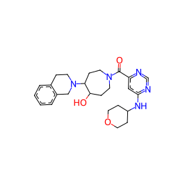 O=C(c1cc(NC2CCOCC2)ncn1)N1CCC(O)C(N2CCc3ccccc3C2)CC1